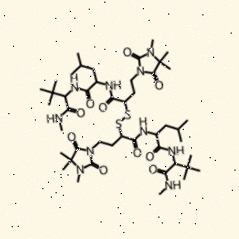 CNC(=O)C(NC(=O)C(CC(C)C)NC(=O)C(CCN1C(=O)N(C)C(C)(C)C1=O)SSC(CCN1C(=O)N(C)C(C)(C)C1=O)C(=O)NC(CC(C)C)C(=O)NC(C(=O)NC)C(C)(C)C)C(C)(C)C